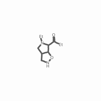 CCC(=O)C1C2ONCC2CN1CC